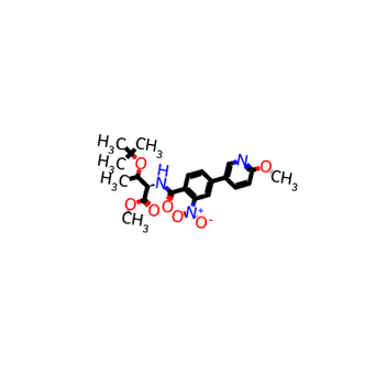 COC(=O)[C@@H](NC(=O)c1ccc(-c2ccc(OC)nc2)cc1[N+](=O)[O-])C(C)OC(C)(C)C